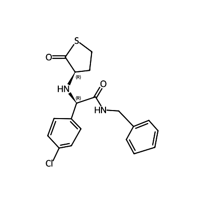 O=C1SCC[C@H]1N[C@@H](C(=O)NCc1ccccc1)c1ccc(Cl)cc1